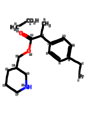 CC(=O)O.CC(C)Cc1ccc(C(C)C(=O)OCC2CCCNC2)cc1